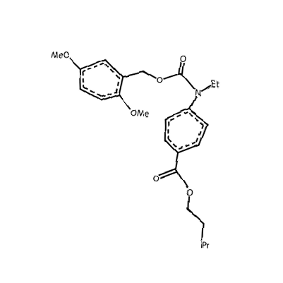 CCN(C(=O)OCc1cc(OC)ccc1OC)c1ccc(C(=O)OCCC(C)C)cc1